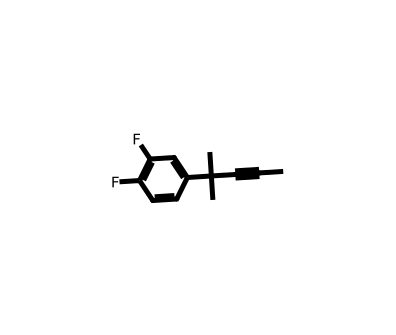 CC#CC(C)(C)c1ccc(F)c(F)c1